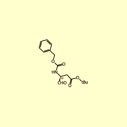 CC(C)(C)OC(=O)C[C@@H](C=O)NC(=O)OCc1ccccc1